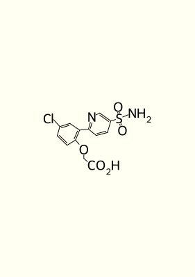 NS(=O)(=O)c1ccc(-c2cc(Cl)ccc2OCC(=O)O)nc1